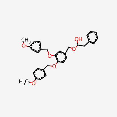 COc1ccc(COc2ccc(COC(O)Cc3ccccc3)cc2OCc2ccc(OC)cc2)cc1